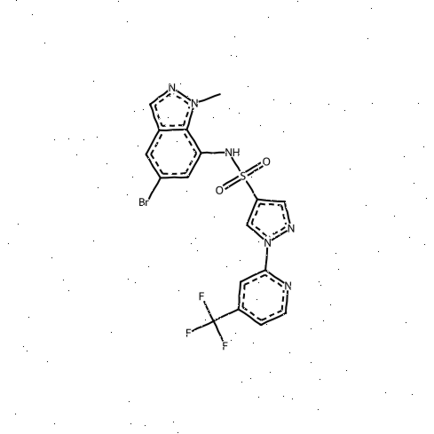 Cn1ncc2cc(Br)cc(NS(=O)(=O)c3cnn(-c4cc(C(F)(F)F)ccn4)c3)c21